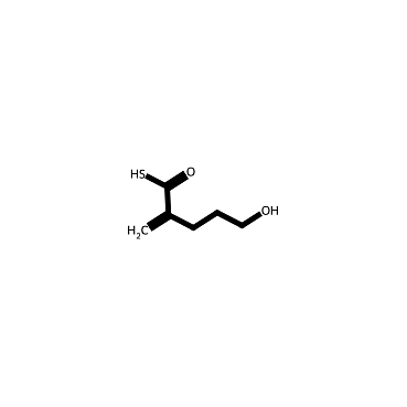 C=C(CCCO)C(=O)S